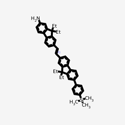 CCC1(CC)c2cc(N)ccc2-c2ccc(/C=C/c3ccc4c(c3)C(CC)(CC)c3cc(-c5ccc([Si](C)(C)C)cc5)ccc3-4)cc21